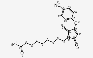 CC(C)C(=O)CCCCCCCCN1C(=O)C=C(Oc2ccc(C#N)cc2)C1=O